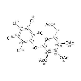 CC(=O)OC[C@H]1O[C@@H](Oc2c(Cl)c(Cl)c(Cl)c(Cl)c2Cl)[C@H](OC(C)=O)[C@@H](OC(C)=O)[C@@H]1OC(C)=O